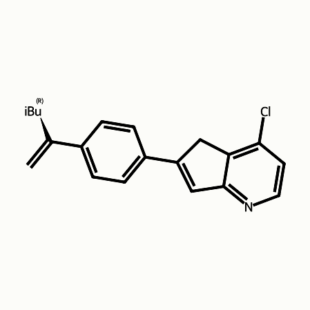 C=C(c1ccc(C2=Cc3nccc(Cl)c3C2)cc1)[C@H](C)CC